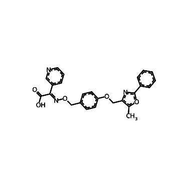 Cc1oc(-c2ccccc2)nc1COc1ccc(CO/N=C(/C(=O)O)c2cccnc2)cc1